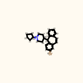 Brc1ccc2c(c1)C=Cc1ccccc1C2C1CCN(C2CCCC2)CC1